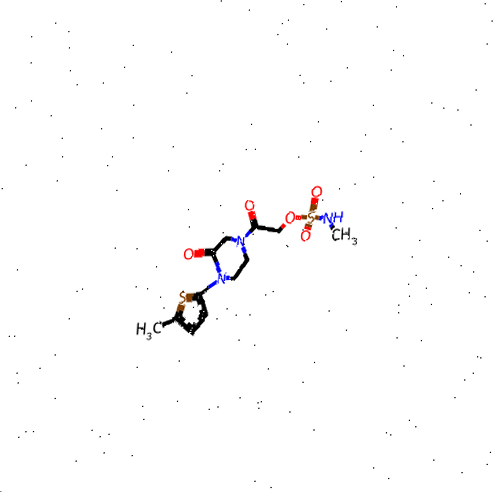 CNS(=O)(=O)OCC(=O)N1CCN(c2ccc(C)s2)C(=O)C1